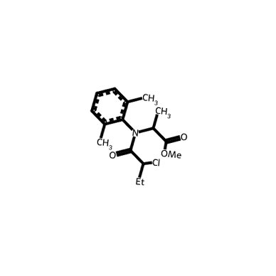 CCC(Cl)C(=O)N(c1c(C)cccc1C)C(C)C(=O)OC